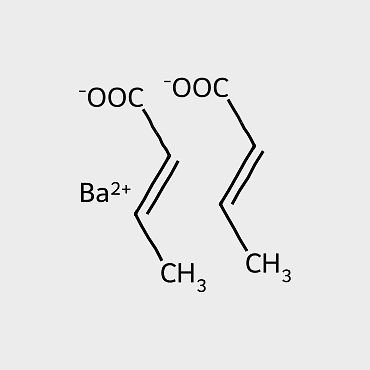 CC=CC(=O)[O-].CC=CC(=O)[O-].[Ba+2]